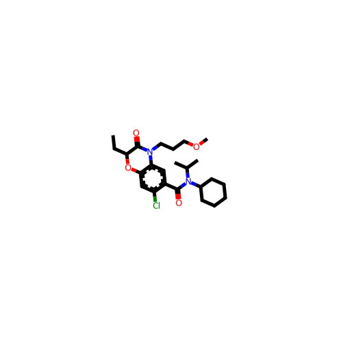 CCC1Oc2cc(Cl)c(C(=O)N(C(C)C)C3CCCCC3)cc2N(CCCOC)C1=O